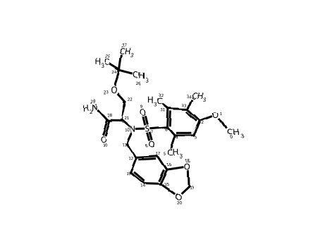 COc1cc(C)c(S(=O)(=O)N(Cc2ccc3c(c2)OCO3)[C@H](COC(C)(C)C)C(N)=O)c(C)c1C